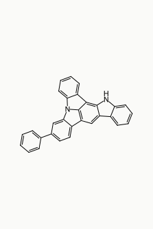 c1ccc(-c2ccc3c4cc5c6ccccc6[nH]c5c5c6ccccc6n(c3c2)c45)cc1